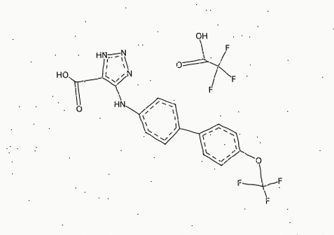 O=C(O)C(F)(F)F.O=C(O)c1[nH]nnc1Nc1ccc(-c2ccc(OC(F)(F)F)cc2)cc1